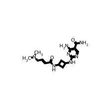 CN(C)CC=CC(=O)NC1CC(Nc2ncc(C(N)=O)c(N)n2)C1